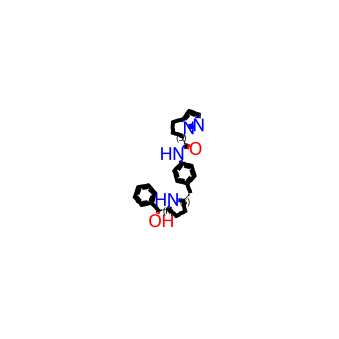 O=C(Nc1ccc(C[C@@H]2CC[C@H](C(O)c3ccccc3)N2)cc1)[C@@H]1CCc2ccnn21